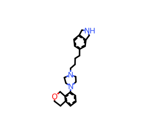 c1cc2c(c(N3CCN(CCCCc4ccc5c(c4)CNC5)CC3)c1)COCC2